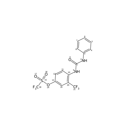 O=C(Nc1ccccc1)Nc1ccc(OS(=O)(=O)C(F)(F)F)cc1C(F)(F)F